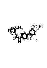 CCOC(=O)N1CCC(C)=C(c2ccc(NC(=O)Oc3snnc3C)cc2)C1